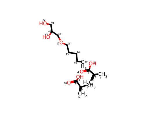 C=C(C)C(=O)O.C=C(C)C(=O)O.CCCCCOCC(O)CO